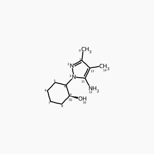 Cc1nn(C2CCCC[C@@H]2O)c(N)c1C